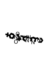 CC(C)(C)c1ccc(N2C(=O)N(Cc3ccnc(Nc4cncc(CN5CCCC5)c4)c3)C(C)(C)C2=O)cc1